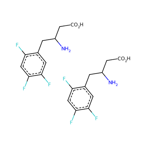 NC(CC(=O)O)Cc1cc(F)c(F)cc1F.NC(CC(=O)O)Cc1cc(F)c(F)cc1F